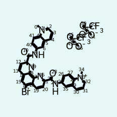 C[n+]1cccc2cc(NC(=O)c3ccc4cc(Br)c5ccc(C(=O)Nc6ccc7c(ccc[n+]7C)c6)nc5c4n3)ccc21.O=S(=O)([O-])C(F)(F)F.O=S(=O)([O-])C(F)(F)F